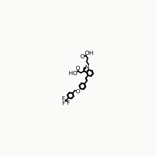 O=C(O)CCCn1cc(CC(=O)O)c2c(C=Cc3ccc(OCc4ccc(C(F)(F)F)cc4)cc3)cccc21